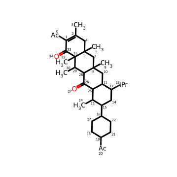 CC(=O)C1=C(C)CC2(C)CC3(C)CC4C(C(C)C)CC(C5CCC(C(C)=O)CC5)C(C)C4C(=O)C3C(C)C2(C)C1=O